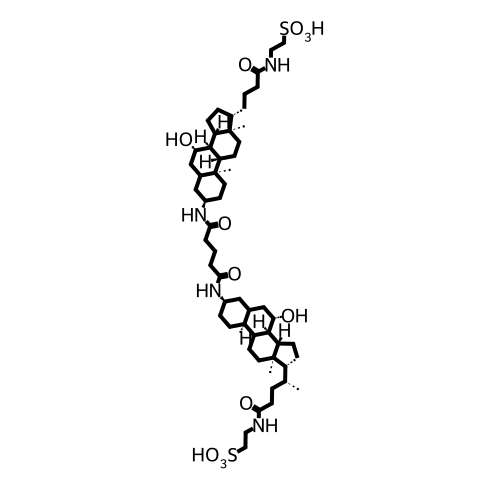 C[C@H](CCC(=O)NCCS(=O)(=O)O)[C@H]1CC[C@H]2[C@@H]3[C@@H](O)CC4C[C@H](NC(=O)CCCC(=O)N[C@@H]5CC[C@@]6(C)C(C5)C[C@H](O)[C@H]5[C@@H]7CC[C@H](CCCC(=O)NCCS(=O)(=O)O)[C@@]7(C)CC[C@@H]56)CC[C@]4(C)[C@H]3CC[C@]12C